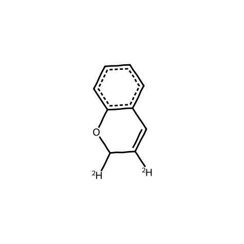 [2H]C1=Cc2ccccc2OC1[2H]